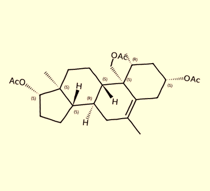 CC(=O)OC[C@]12C(=C(C)C[C@H]3[C@@H]4CC[C@H](OC(C)=O)[C@@]4(C)CC[C@@H]31)C[C@@H](OC(C)=O)C[C@H]2C